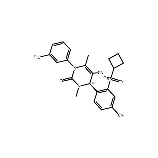 CC1=C(C#N)[C@@H](c2ccc(C#N)cc2S(=O)(=O)C2CCC2)N(C)C(=O)N1c1cccc(C(F)(F)F)c1